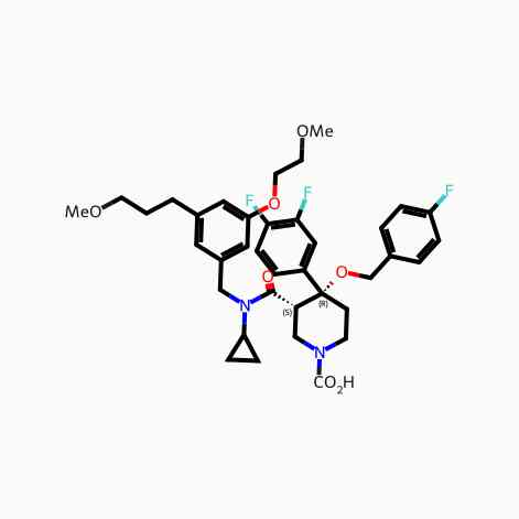 COCCCc1cc(CN(C(=O)[C@H]2CN(C(=O)O)CC[C@]2(OCc2ccc(F)cc2)c2ccc(F)c(F)c2)C2CC2)cc(OCCOC)c1